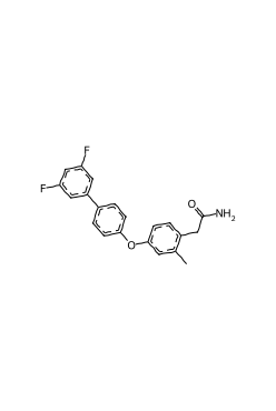 Cc1cc(Oc2ccc(-c3cc(F)cc(F)c3)cc2)ccc1CC(N)=O